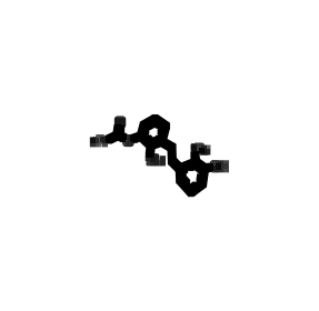 CCCC(=O)Oc1cccc(CCc2cccc(O)c2C(C)(C)C)c1C(C)(C)C